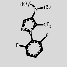 CC(C)(C)N(C(=O)O)c1cnn(-c2c(F)cccc2F)c1C(F)(F)F